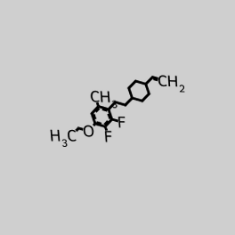 C=CC1CCC(CCc2c(C)cc(OCC)c(F)c2F)CC1